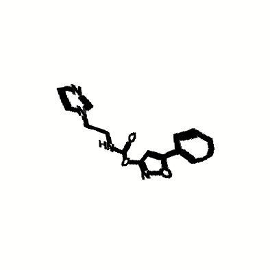 O=C(NCCn1ccnc1)Oc1cc(-c2ccccc2)on1